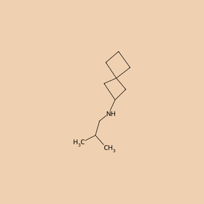 CC(C)CNC1CC2(CCC2)C1